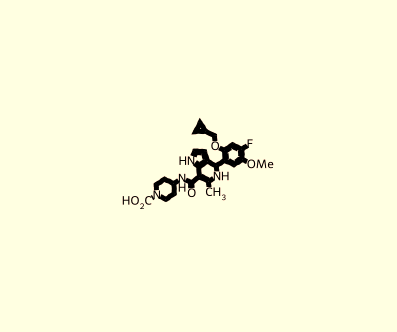 COc1cc(C2NC(C)=C(C(=O)NC3CCN(C(=O)O)CC3)c3[nH]ccc32)c(OCC2CC2)cc1F